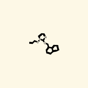 C=CCSN1C=CC=NC1OCc1cccc2ccccc12